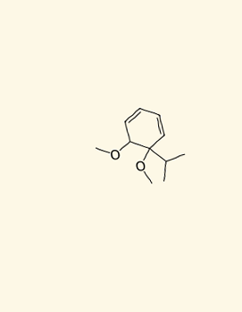 COC1C=CC=CC1(OC)C(C)C